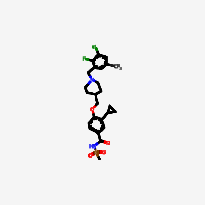 CS(=O)(=O)NC(=O)c1ccc(OCC2CCN(Cc3cc(C(F)(F)F)cc(Cl)c3F)CC2)c(C2CC2)c1